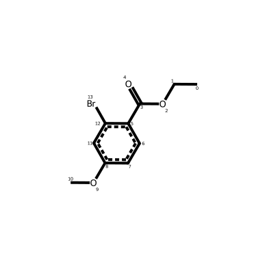 CCOC(=O)c1ccc(OC)cc1Br